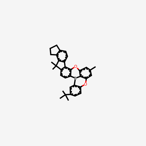 Cc1cc2c3c(c1)Oc1c(ccc4c1-c1ccc5c(c1C4(C)C)CCC5)B3c1cc(C(C)(C)C)ccc1O2